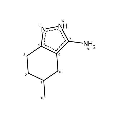 CC1CCc2n[nH]c(N)c2C1